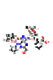 CC(C)(C)OC(=O)N(c1nc(CO)nc2c1cnn2[C@@H]1O[C@H](Cc2ccccc2C(=O)O)[C@H]2OC(C)(C)O[C@H]21)C1CCCC1